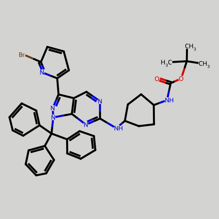 CC(C)(C)OC(=O)NC1CCC(Nc2ncc3c(-c4cccc(Br)n4)nn(C(c4ccccc4)(c4ccccc4)c4ccccc4)c3n2)CC1